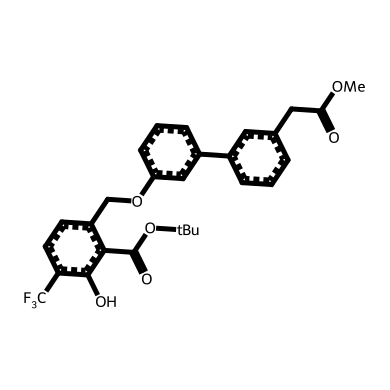 COC(=O)Cc1cccc(-c2cccc(OCc3ccc(C(F)(F)F)c(O)c3C(=O)OC(C)(C)C)c2)c1